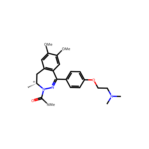 CNC(=O)N1N=C(c2ccc(OCCN(C)C)cc2)c2cc(OC)c(OC)cc2C[C@H]1C